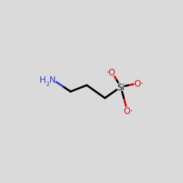 NCCC[Si]([O])([O])[O]